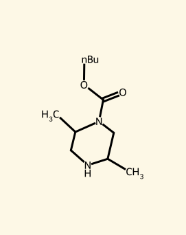 CCCCOC(=O)N1CC(C)NCC1C